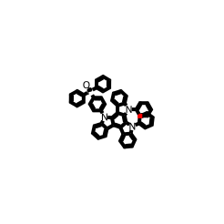 O=P(c1ccccc1)(c1ccccc1)c1ccc(-n2c3ccccc3c3c4c5ccccc5n(-c5ccccc5)c4c4c(c5ccccc5n4-c4ccccc4)c32)cc1